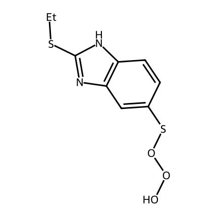 CCSc1nc2cc(SOOO)ccc2[nH]1